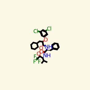 CC(C)[C@H](NC(=O)[C@H](Cc1ccccc1)NC(=O)C(CC1CCCCC1)Oc1cc(Cl)cc(Cl)c1)C(=O)C(F)(F)F